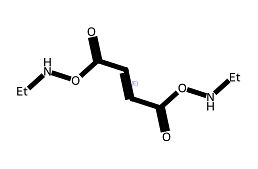 CCNOC(=O)/C=C/C(=O)ONCC